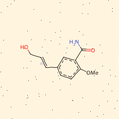 COc1ccc(/C=C/CO)cc1C(N)=O